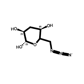 [N-]=[N+]=NCC1O[C@H](O)[C@@H](O)C[C@H]1O